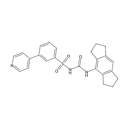 O=C(Nc1c2c(cc3c1CCC3)CCC2)NS(=O)(=O)c1cccc(-c2ccncc2)c1